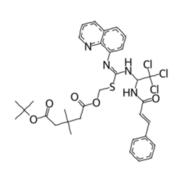 CC(C)(CC(=O)OCS/C(=N/c1cccc2cccnc12)NC(NC(=O)/C=C/c1ccccc1)C(Cl)(Cl)Cl)CC(=O)OC(C)(C)C